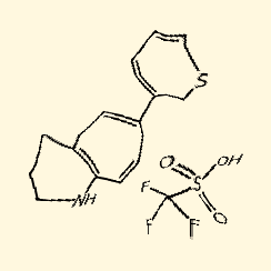 C1=CSCC(c2ccc3c(c2)CCCN3)=C1.O=S(=O)(O)C(F)(F)F